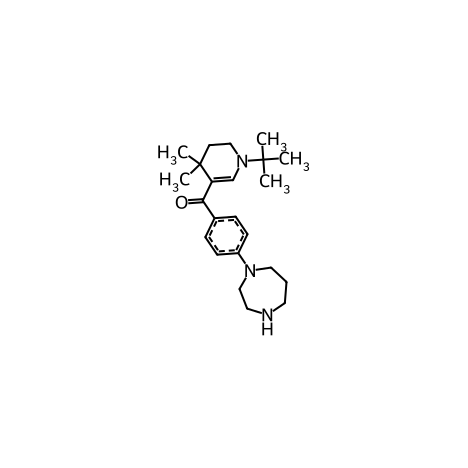 CC1(C)CCN(C(C)(C)C)C=C1C(=O)c1ccc(N2CCCNCC2)cc1